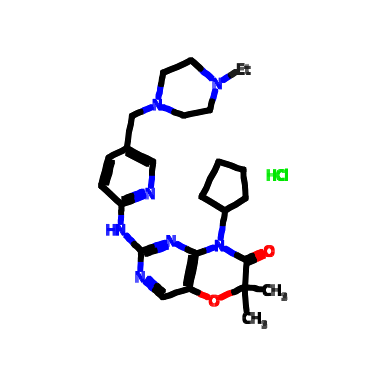 CCN1CCN(Cc2ccc(Nc3ncc4c(n3)N(C3CCCC3)C(=O)C(C)(C)O4)nc2)CC1.Cl